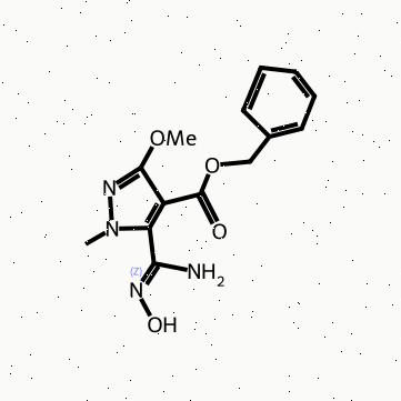 COc1nn(C)c(/C(N)=N/O)c1C(=O)OCc1ccccc1